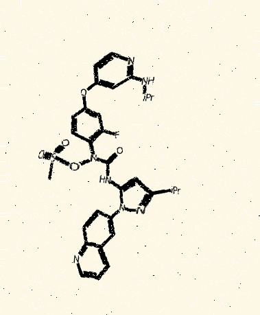 CC(C)Nc1cc(Oc2ccc(N(OS(C)(=O)=O)C(=O)Nc3cc(C(C)C)nn3-c3ccc4ncccc4c3)c(F)c2)ccn1